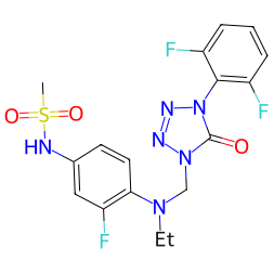 CCN(Cn1nnn(-c2c(F)cccc2F)c1=O)c1ccc(NS(C)(=O)=O)cc1F